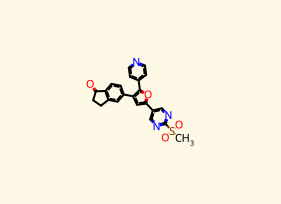 CS(=O)(=O)c1ncc(-c2cc(-c3ccc4c(c3)CCC4=O)c(-c3ccncc3)o2)cn1